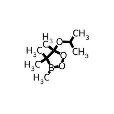 CB1OOC(C)(OC(C)C)C1(C)C